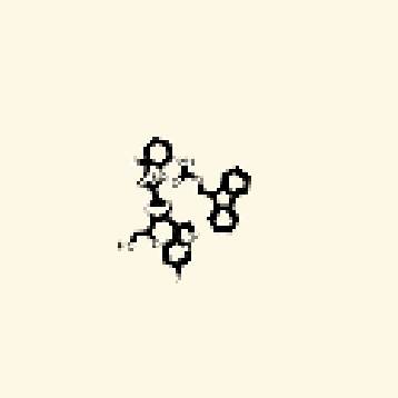 O=C(N[C@H]1CCCC(F)(F)[C@@H]1NC(=O)c1nc(-c2cnn3cc(F)ccc23)c(C(O)CO)s1)OCC1c2ccccc2-c2ccccc21